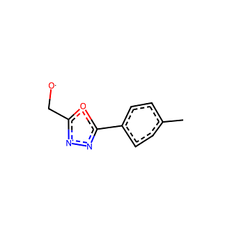 Cc1ccc(-c2nnc(C[O])o2)cc1